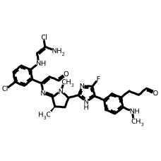 CNc1ccc(-c2[nH]c(C3C[C@@H](C)/C(=N/C(=C\C=O)c4cc(Cl)ccc4N/C=C(\N)Cl)N3C)nc2F)cc1CCC=O